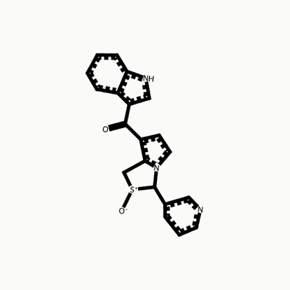 O=C(c1ccn2c1C[S+]([O-])C2c1cccnc1)c1c[nH]c2ccccc12